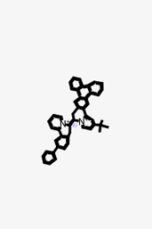 CC(C)(C)c1cc[n+]2c(c1)-c1cc3c4ccccc4c4ccccc4c3cc1C/C2=C1/Cc2ccc(-c3ccccc3)cc2-c2cccc[n+]21